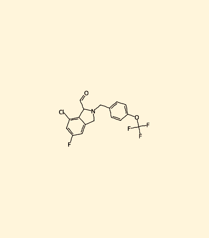 O=CC1c2c(Cl)cc(F)cc2CN1Cc1ccc(OC(F)(F)F)cc1